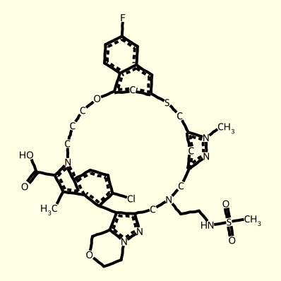 Cc1c(C(=O)O)n2c3ccc(Cl)c(c13)-c1c(nn3c1COCC3)CN(CCNS(C)(=O)=O)Cc1cc(n(C)n1)CSc1cc(c3ccc(F)cc3c1)OCCC2